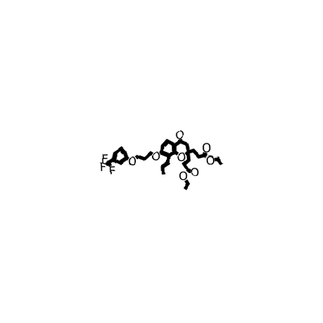 CCCc1c(OCCCOc2cccc(C(F)(F)F)c2)ccc2c1OC(CCC(=O)OCC)(CCC(=O)OCC)CC2=O